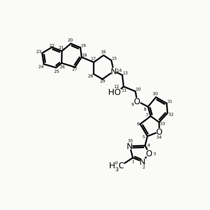 Cc1noc(-c2cc3c(OCC(O)CN4CCC(c5ccc6ccccc6c5)CC4)cccc3o2)n1